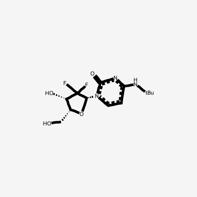 CC(C)(C)Nc1ccn([C@@H]2O[C@H](CO)[C@H](O)C2(F)F)c(=O)n1